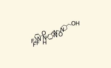 O=C(Nc1ccc2nn(CC(=O)N3CCC(CCO)CC3)cc2c1)c1cccc(C(F)(F)F)n1